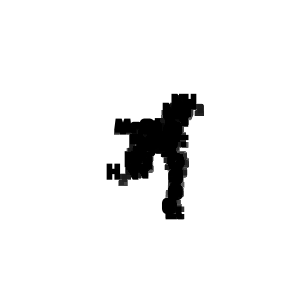 BP(=O)(OC)O[C@H]1[C@@H](F)[C@H](n2cnc3c(N)ncnc32)O[C@@H]1COP(=O)(O[C@H]1[C@@H](F)[C@H](n2cnc3c(N)ncnc32)O[C@@H]1CC)SCc1ccc(COCCOCCOCC)cc1